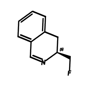 FC[C@@H]1Cc2ccccc2C=N1